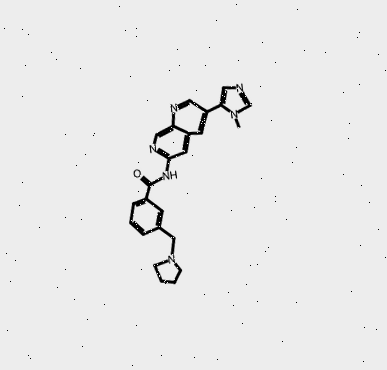 Cn1cncc1-c1cnc2cnc(NC(=O)c3cccc(CN4CCCC4)c3)cc2c1